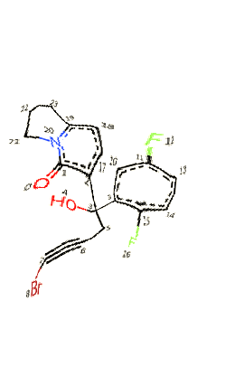 O=c1c(C(O)(CC#CBr)c2cc(F)ccc2F)ccc2n1CCC2